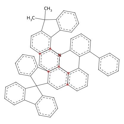 CC1(C)c2ccccc2-c2c(N(c3cccc(-c4ccccc4)c3-c3ccccc3-c3ccccc3)c3cccc4c3-c3ccccc3C43c4ccccc4-c4ccccc43)cccc21